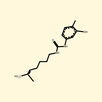 C/C(=C\CCCCNC(=O)Nc1ccc(C)c(O)c1)C(=O)O